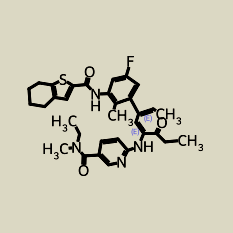 C/C=C(\C=C(\Nc1ccc(C(=O)N(C)CC)cn1)C(=O)CC)c1cc(F)cc(NC(=O)c2cc3c(s2)CCCC3)c1C